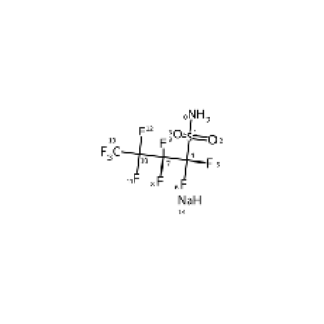 NS(=O)(=O)C(F)(F)C(F)(F)C(F)(F)C(F)(F)F.[NaH]